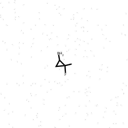 BC1CC1(C)F